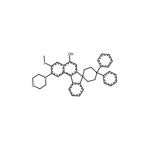 CSc1cc2c(O)cc3c(c2cc1N1CCOCC1)-c1ccccc1C31CCC(c2ccccc2)(c2ccccc2)CC1